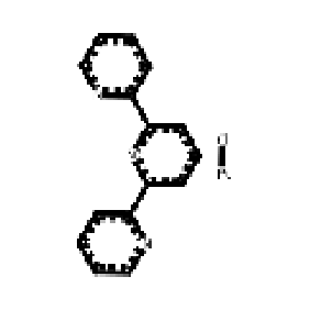 [Cl][Pt].c1ccc(-c2cccc(-c3ccccn3)n2)nc1